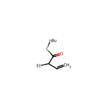 C=CC(CC)C(=O)SCCCC